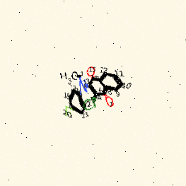 CCN(C1=C(Cl)C(=O)c2ccccc2C1=O)c1ccc(F)cc1